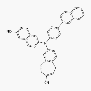 N#CC1=CCc2ccc(N(c3ccc(-c4ccc5ccccc5c4)cc3)c3ccc4cc(C#N)ccc4c3)cc2C=C1